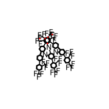 N#Cc1c(-n2c3cc(-c4ccc(C(F)(F)F)cc4C(F)(F)F)ccc3c3ccc(-c4ccc(C(F)(F)F)cc4C(F)(F)F)cc32)cc(-c2ccc(C(F)(F)F)cc2C(F)(F)F)cc1-n1c2cc(-c3ccc(C(F)(F)F)cc3C(F)(F)F)ccc2c2ccc(-c3ccc(C(F)(F)F)cc3C(F)(F)F)cc21